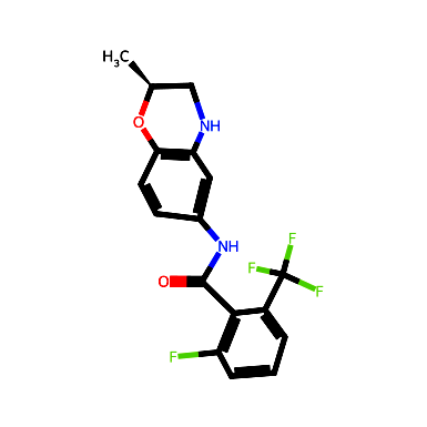 C[C@H]1CNc2cc(NC(=O)c3c(F)cccc3C(F)(F)F)ccc2O1